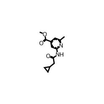 COC(=O)c1cc(C)nc(NC(=O)CC2CC2)c1